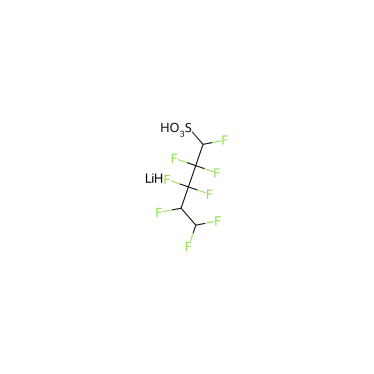 O=S(=O)(O)C(F)C(F)(F)C(F)(F)C(F)C(F)F.[LiH]